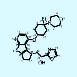 CC[C@]1(N2CCOCC2)CC[C@H](Oc2ccnc3sc4c(c23)[C@@H](C[C@@H](O)c2ncco2)CC4)CC1